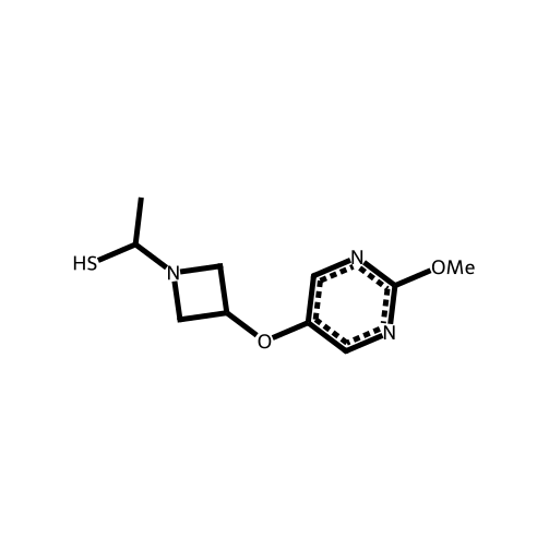 COc1ncc(OC2CN(C(C)S)C2)cn1